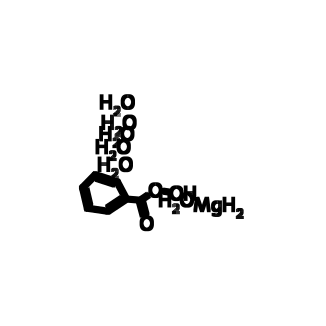 O.O.O.O.O.O.O=C(OO)c1ccccc1.[MgH2]